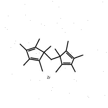 CC1=C(C)C(C)([CH]C2(C)C(C)=C(C)C(C)=C2C)C(C)=C1C.[Zr]